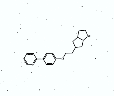 c1cc(-c2ccc(OCCC3CC4CCNC4C3)cc2)ncn1